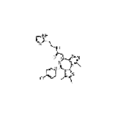 Cc1sc2c(c1C)C([C@H]1C=CC(Cl)=CC1)=N[C@@H](CC(=O)NCCc1ncc[nH]1)c1nnc(C)n1-2